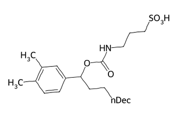 CCCCCCCCCCCCC(OC(=O)NCCCS(=O)(=O)O)c1ccc(C)c(C)c1